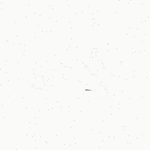 COC(=O)[C@@H]1CN(C=O)C[C@H]1c1ccc(OC)c(OCCCOc2ccccc2)c1